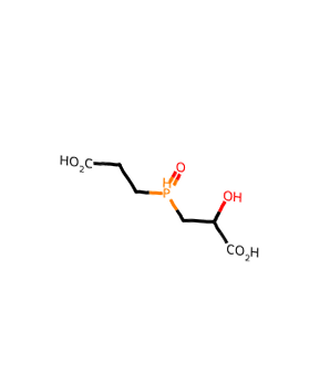 O=C(O)CC[PH](=O)CC(O)C(=O)O